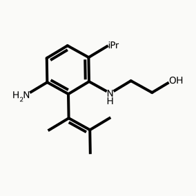 CC(C)=C(C)c1c(N)ccc(C(C)C)c1NCCO